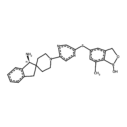 Cc1cc(Sc2cnc(N3CCC4(CC3)Cc3ccccc3[C@H]4N)cn2)cc2c1B(O)OC2